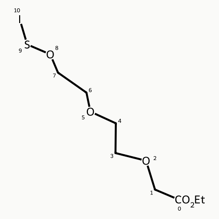 CCOC(=O)COCCOCCOSI